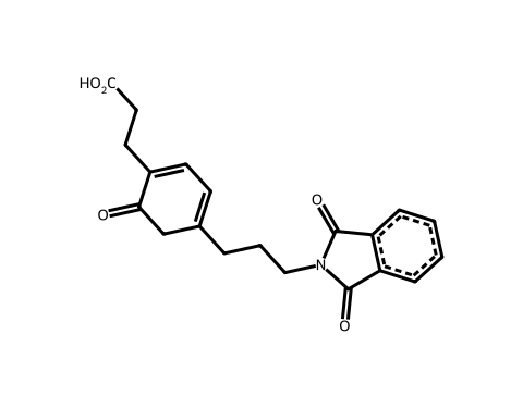 O=C(O)CCC1=CC=C(CCCN2C(=O)c3ccccc3C2=O)CC1=O